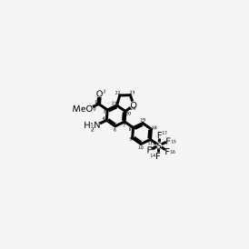 COC(=O)c1c(N)cc(-c2ccc(S(F)(F)(F)(F)F)cc2)c2c1CCO2